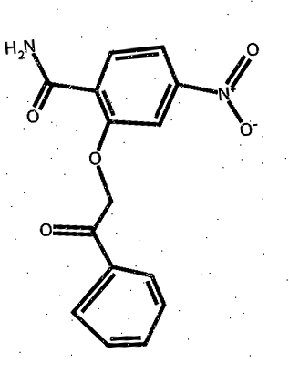 NC(=O)c1ccc([N+](=O)[O-])cc1OCC(=O)c1ccccc1